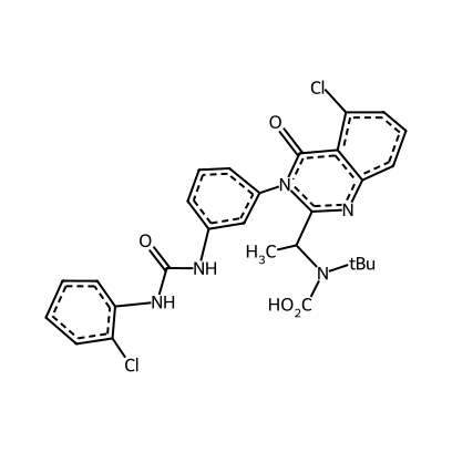 CC(c1nc2cccc(Cl)c2c(=O)n1-c1cccc(NC(=O)Nc2ccccc2Cl)c1)N(C(=O)O)C(C)(C)C